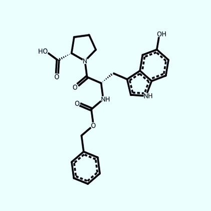 O=C(N[C@@H](Cc1c[nH]c2ccc(O)cc12)C(=O)N1CCC[C@H]1C(=O)O)OCc1ccccc1